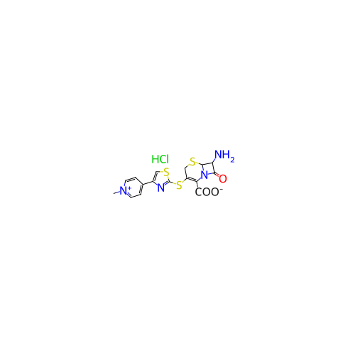 C[n+]1ccc(-c2csc(SC3=C(C(=O)[O-])N4C(=O)C(N)C4SC3)n2)cc1.Cl